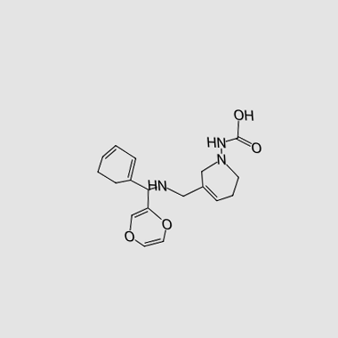 O=C(O)NN1CCC=C(CNC(C2=CC=CCC2)C2=COC=CO2)C1